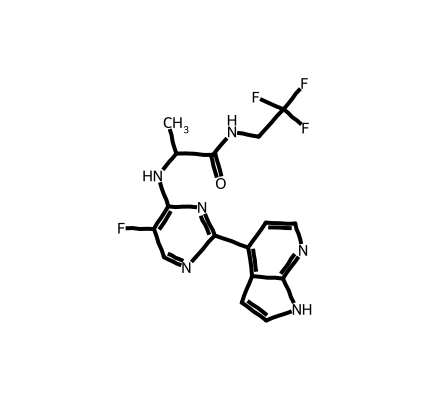 CC(Nc1nc(-c2ccnc3[nH]ccc23)ncc1F)C(=O)NCC(F)(F)F